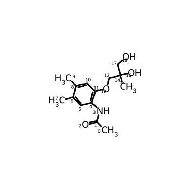 CC(=O)Nc1cc(C)c(C)cc1OCC(C)(O)CO